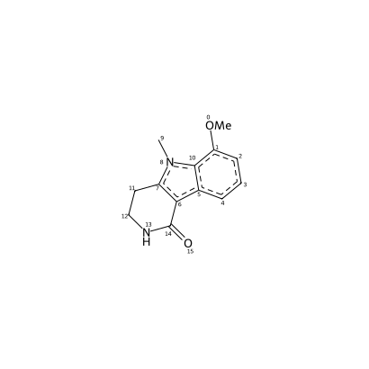 COc1cccc2c3c(n(C)c12)CCNC3=O